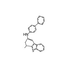 CC1CC(Nc2ccc(-c3ccccc3)cc2)=Cc2c1sc1ccccc21